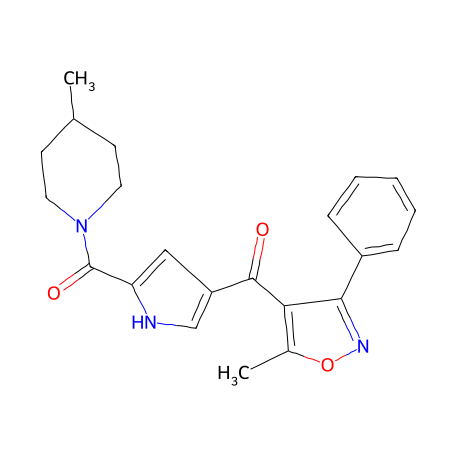 Cc1onc(-c2ccccc2)c1C(=O)c1c[nH]c(C(=O)N2CCC(C)CC2)c1